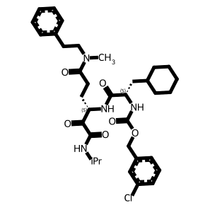 CC(C)NC(=O)C(=O)[C@H](CCC(=O)N(C)CCc1ccccc1)NC(=O)[C@H](CC1CCCCC1)NC(=O)OCc1cccc(Cl)c1